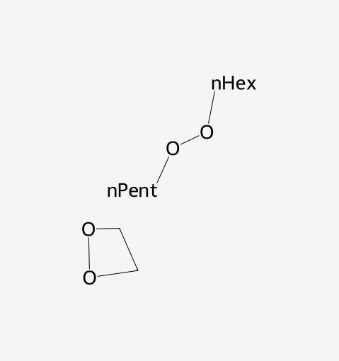 C1COO1.CCCCCCOOCCCCC